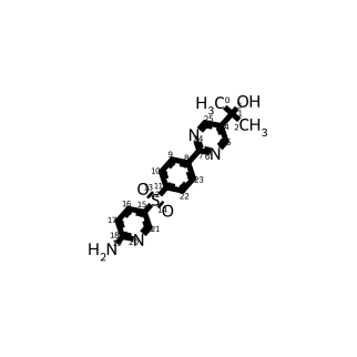 CC(C)(O)c1cnc(-c2ccc(S(=O)(=O)c3ccc(N)nc3)cc2)nc1